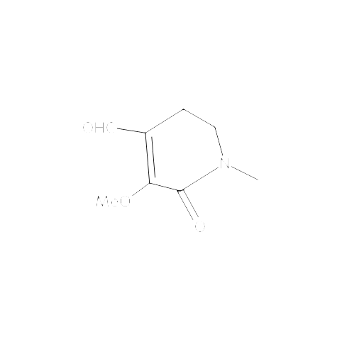 COC1=C(C=O)CCN(C)C1=O